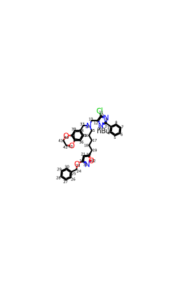 CCCCn1c(-c2ccccc2)nc(Cl)c1CN(CCCCCc1cc(OCc2ccccc2)no1)Cc1ccc2c(c1)OCCO2